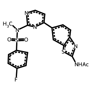 CC(=O)Nc1nc2ccc(-c3ccnc(N(C)S(=O)(=O)c4ccc(F)cc4)n3)cc2s1